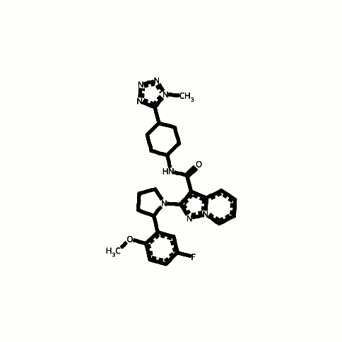 COc1ccc(F)cc1C1CCCN1c1nn2ccccc2c1C(=O)NC1CCC(c2nnnn2C)CC1